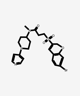 CN(C(=O)CCS(=O)(=O)C1=Cc2ccc(Br)cc2OC1)C1CCN(c2ccncc2)CC1